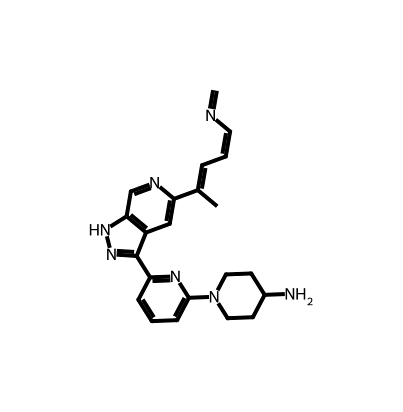 C=N/C=C\C=C(/C)c1cc2c(-c3cccc(N4CCC(N)CC4)n3)n[nH]c2cn1